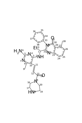 CCC(Nc1nc(N)nc(C)c1C=CC(=O)N1CCNCC1)c1nc2cccc(C)c2c(=O)n1-c1ccccc1